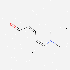 CN(C)/C=C\C=C/C=O